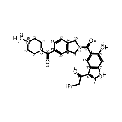 CC(C)CC(=O)c1n[nH]c2cc(O)c(C(=O)N3Cc4ccc(C(=O)N5CCN(C)CC5)cc4C3)cc12